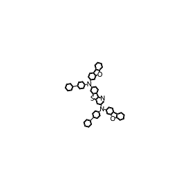 c1ccc(-c2ccc(N(c3ccc4c(c3)oc3ccccc34)c3ccc4c(c3)sc3cc(N(c5ccc(-c6ccccc6)cc5)c5ccc6c(c5)oc5ccccc56)cnc34)cc2)cc1